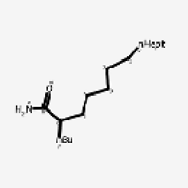 CCCCCCCCCCCCC(CCCC)C(N)=O